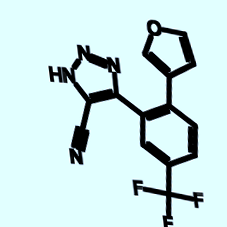 N#Cc1[nH]nnc1-c1cc(C(F)(F)F)ccc1-c1ccoc1